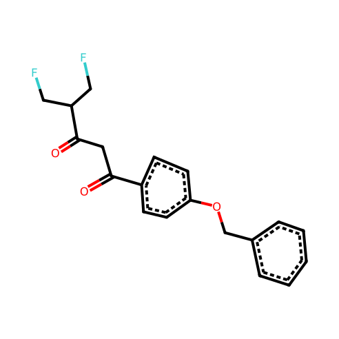 O=C(CC(=O)C(CF)CF)c1ccc(OCc2ccccc2)cc1